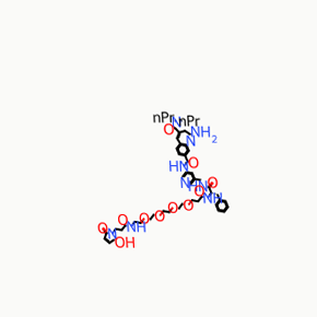 CCCN(CCC)C(=O)C1=Cc2ccc(C(=O)Nc3cncc(CNC(=O)[C@H](Cc4ccccc4)NC(=O)CCOCCOCCOCCOCCNC(=O)CCN4C(=O)C=CC4O)c3)cc2N=C(N)C1